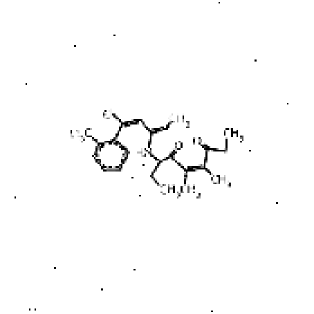 C/C=C(\C=C(\Cl)c1ccccc1C)NC(CC)C(=O)/C(C)=C(/C)C(=O)CC